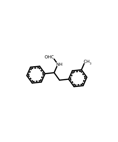 Cc1cccc(CC(NC=O)c2ccccc2)c1